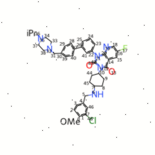 COc1ccc(CNC2CCC(n3c(=O)c4cc(F)cnc4n(-c4cccc(-c5ccc(CN6CCN(C(C)C)CC6)cc5)c4)c3=O)CC2)cc1Cl